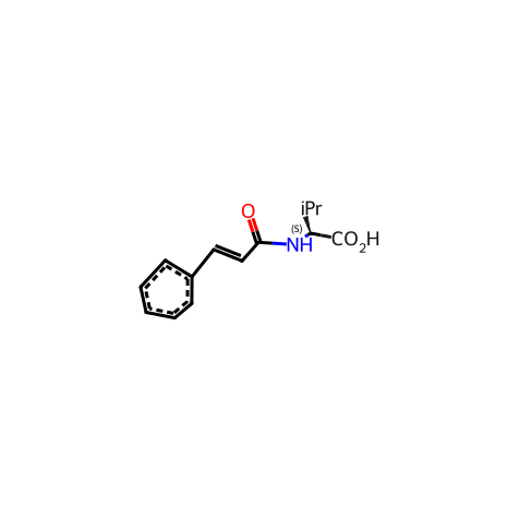 CC(C)[C@H](NC(=O)C=Cc1ccccc1)C(=O)O